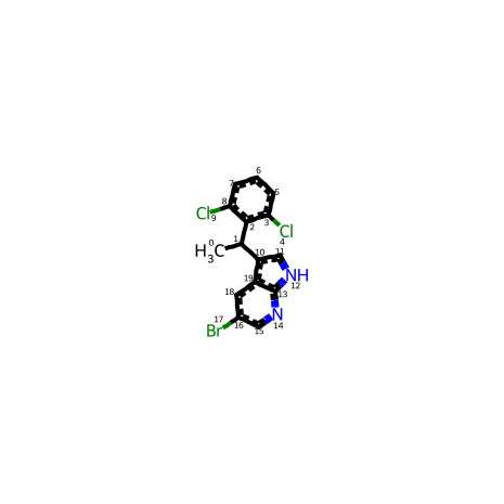 CC(c1c(Cl)cccc1Cl)c1c[nH]c2ncc(Br)cc12